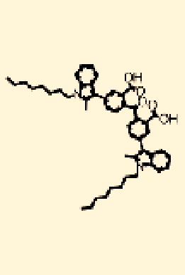 CCCCCCCCn1c(C)c(-c2ccc(C(=O)c3ccc(-c4c(C)n(CCCCCCCC)c5ccccc45)cc3C(=O)O)c(C(=O)O)c2)c2ccccc21